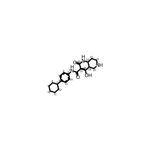 O=C(Nc1ccc(C2CCCCC2)cc1)C1=C(O)C2CNCCC2NC1=O